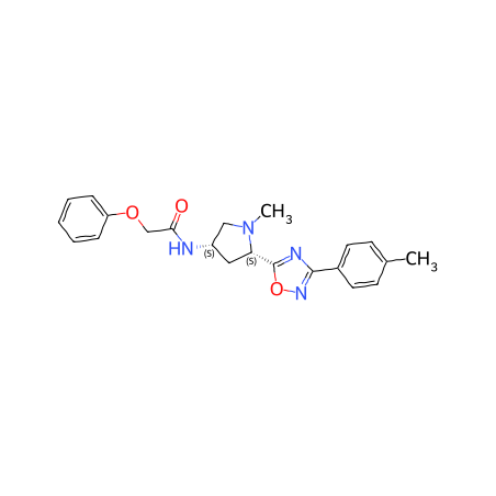 Cc1ccc(-c2noc([C@@H]3C[C@H](NC(=O)COc4ccccc4)CN3C)n2)cc1